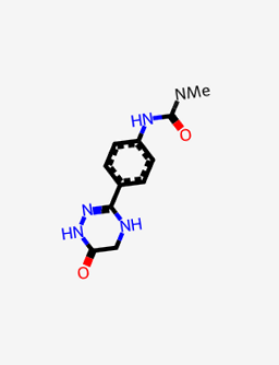 CNC(=O)Nc1ccc(C2=NNC(=O)CN2)cc1